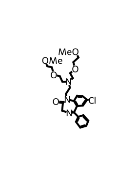 COCCOCCN(CCOCCOC)CCN1C(=O)CN=C(c2ccccc2)c2cc(Cl)ccc21